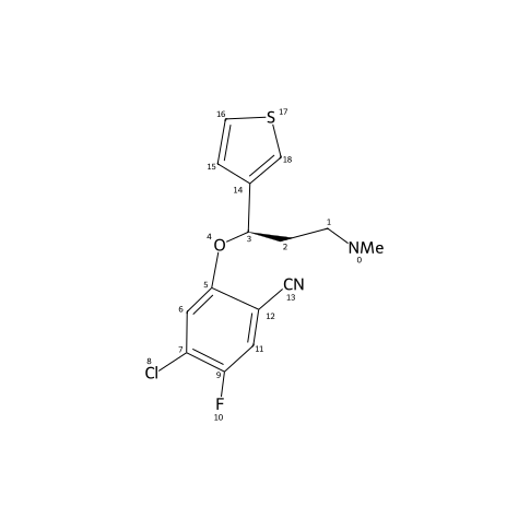 CNCC[C@@H](Oc1cc(Cl)c(F)cc1C#N)c1ccsc1